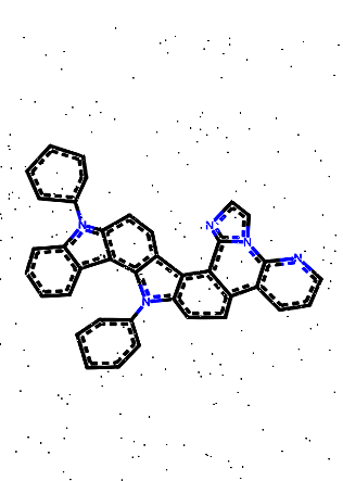 c1ccc(-n2c3ccccc3c3c2ccc2c4c5c(ccc4n(-c4ccccc4)c23)c2cccnc2n2ccnc52)cc1